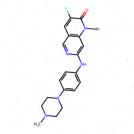 CC(C)n1c(=O)c(F)cc2cnc(Nc3ccc(N4CCN(C)CC4)cc3)cc21